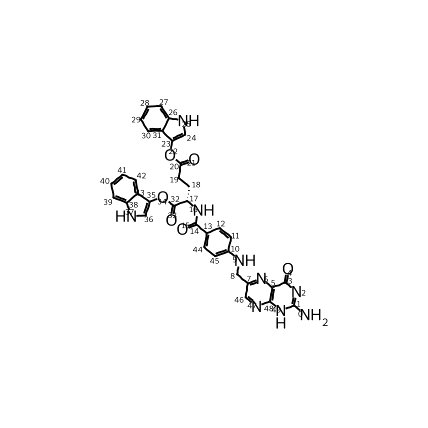 Nc1nc(=O)c2nc(CNc3ccc(C(=O)N[C@@H](CCC(=O)Oc4c[nH]c5ccccc45)C(=O)Oc4c[nH]c5ccccc45)cc3)cnc2[nH]1